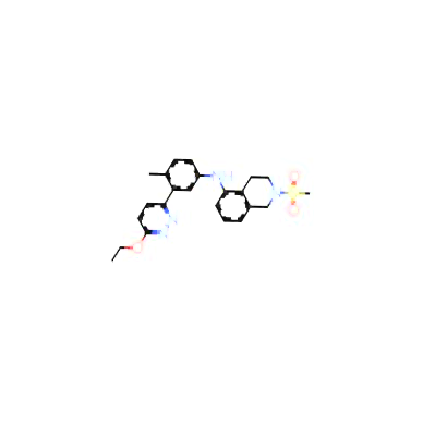 CCOc1ccc(-c2cc(Nc3cccc4c3CCN(S(C)(=O)=O)C4)ccc2C)nn1